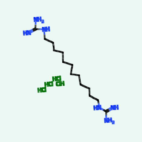 Cl.Cl.Cl.Cl.N=C(N)NCCCCCCCCCCCCNC(=N)N